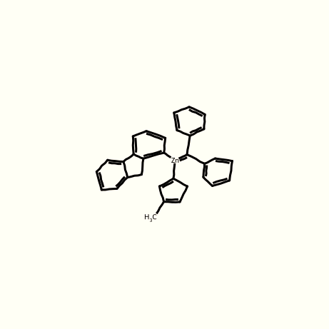 CC1=CC[C]([Zn](=[C](c2ccccc2)c2ccccc2)[c]2cccc3c2Cc2ccccc2-3)=C1